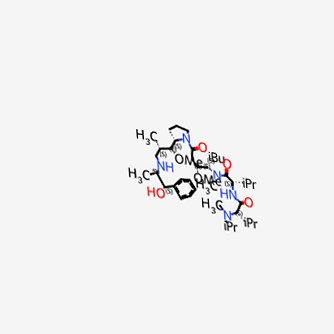 CC[C@H](C)[C@@H]([C@@H](CC(=O)N1CCC[C@H]1[C@H](OC)[C@@H](C)CN[C@H](C)[C@@H](O)c1ccccc1)OC)N(C)C(=O)[C@@H](NC(=O)[C@H](C(C)C)N(C)C(C)C)C(C)C